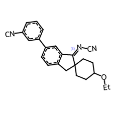 [C-]#[N+]c1cccc(-c2ccc3c(c2)/C(=N/C#N)C2(CCC(OCC)CC2)C3)c1